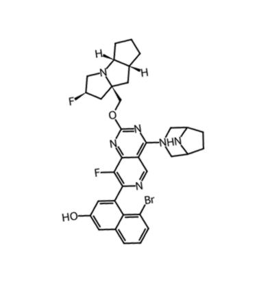 Oc1cc(-c2ncc3c(N4CC5CCC(C4)N5)nc(OC[C@@]45C[C@@H](F)CN4[C@@H]4CCC[C@@H]4C5)nc3c2F)c2c(Br)cccc2c1